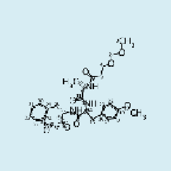 COCOCCC(=O)N[C@@H](C)C(=O)N[C@@H](Cc1ccc(OC)cc1)C(=O)N[C@@H](Cc1ccccc1)C(=O)[C@H]1CO1